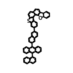 C1=CC2Oc3c(ccc4ccc5sc6cc(-c7ccc8cc(-c9c%10ccccc%10c(-c%10cccc%11ccccc%10%11)c%10ccccc9%10)ccc8c7)ccc6c5c34)C2C=C1